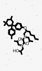 CCCCCC(CN(CCN(CC(C)O)CC(C)O)CC(C)O)Oc1ccc(C2(c3ccc(C)cc3)CC(C)CC(C)(C)C2)cc1